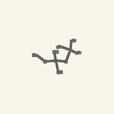 CCC[Si](CCC)(CCC)[O][Zr]([OH])([OH])[O]C(C)CC